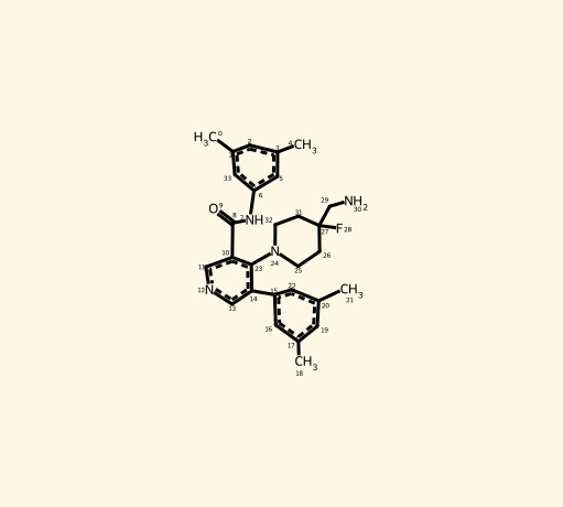 Cc1cc(C)cc(NC(=O)c2cncc(-c3cc(C)cc(C)c3)c2N2CCC(F)(CN)CC2)c1